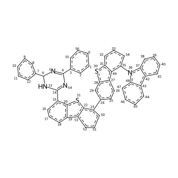 c1ccc(C2=NC(c3ccccc3)NC(c3cccc4c3sc3c(-c5ccc6c(c5)sc5cccc(-n7c8ccccc8c8ccccc87)c56)cccc34)=N2)cc1